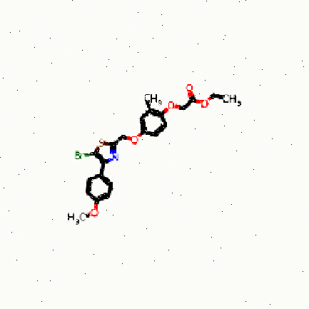 CCOC(=O)COc1ccc(OCc2nc(-c3ccc(OC)cc3)c(Br)s2)cc1C